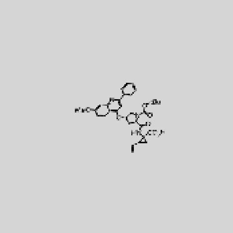 C=C[C@@H]1C[C@]1(NC(=O)[C@H]1C[C@@H](Oc2cc(-c3ccccc3)nc3cc(OC)ccc23)CN1C(=O)OC(C)(C)C)C(=O)O